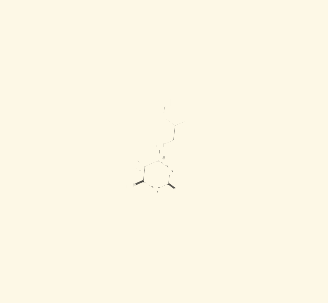 COC(O)CO[C@H]1NC(=O)NC(=O)[C@H]1F